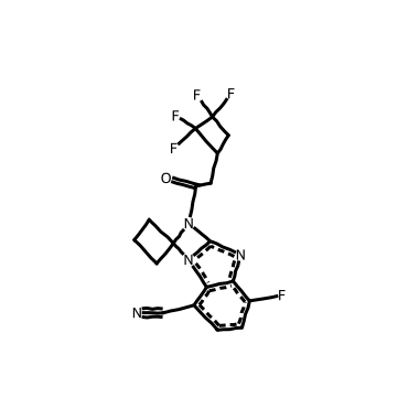 N#Cc1ccc(F)c2nc3n(c12)C1(CCC1)N3C(=O)CC1CC(F)(F)C1(F)F